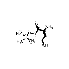 CCC=C(C)C(=O)OO[Si](C)(C)C